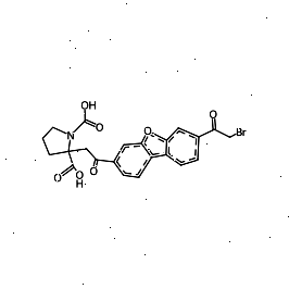 O=C(CBr)c1ccc2c(c1)oc1cc(C(=O)CC3(C(=O)O)CCCN3C(=O)O)ccc12